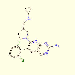 Nc1ncc2cc(-c3c(Cl)cccc3Cl)c(N3CCC(CNC4CC4)C3)nc2n1